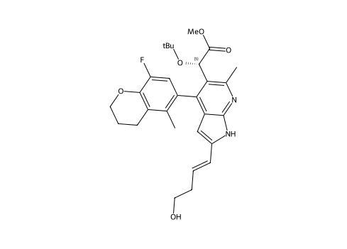 COC(=O)[C@@H](OC(C)(C)C)c1c(C)nc2[nH]c(C=CCCO)cc2c1-c1cc(F)c2c(c1C)CCCO2